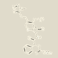 COC(=S)OC(C(=O)NC1C(=O)N2C(C(=O)O)=C(CSc3nnnn3C)CSC12)c1ccccc1